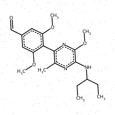 CCC(CC)Nc1nc(C)c(-c2c(OC)cc(C=O)cc2OC)nc1OC